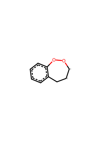 [C]1[C]OOc2ccccc2C1